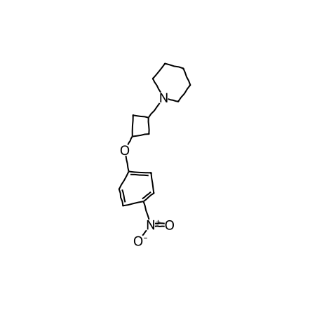 O=[N+]([O-])c1ccc(OC2CC(N3CCCCC3)C2)cc1